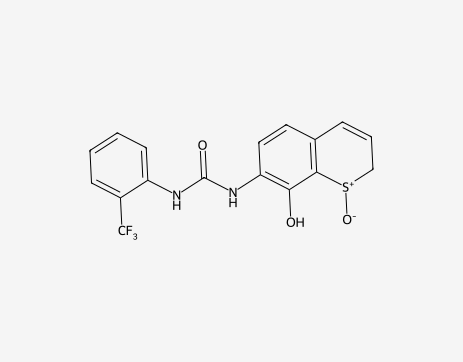 O=C(Nc1ccccc1C(F)(F)F)Nc1ccc2c(c1O)[S+]([O-])CC=C2